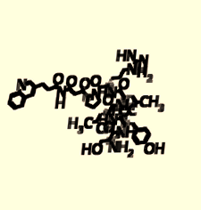 CC(C)C[C@H](NC(=O)[C@@H](CC(C)C)NC(=O)[C@H](Cc1ccc(O)cc1)NC(=O)[C@@H](N)CO)C(=O)N[C@@H](CCCNC(=N)N)C(=O)N1CCC[C@H]1C(=O)CC(=O)NC(=O)CCc1cnc2ccccc2c1